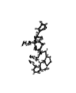 CN(CC1CCCN1Cc1c(F)cccc1F)c1nc(N)n2nc(-c3ccco3)nc2n1